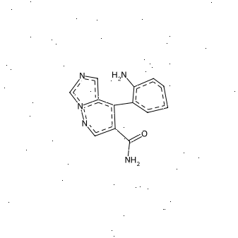 NC(=O)c1cnn2cncc2c1-c1ccccc1N